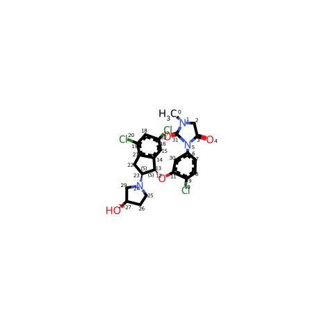 CN1CC(=O)N(c2ccc(Cl)c(O[C@H]3c4cc(Cl)cc(Cl)c4C[C@@H]3N3CCC(O)C3)c2)C1=O